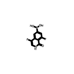 O=c1[nH]cc(F)c2cc(B(O)O)cc(F)c12